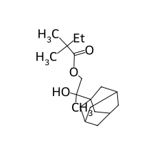 CCC(C)(C)C(=O)OCC(C)(O)C12CC3CC(CC(C3)C1)C2